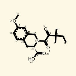 CCC(C)(C)C(=O)C(=O)N1Cc2cc(OC)ccc2C[C@H]1C(=O)O